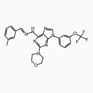 Cc1cccc(C=NNc2nc(N3CCOCC3)nc3c2ncn3-c2cccc(OC(F)(F)F)c2)c1